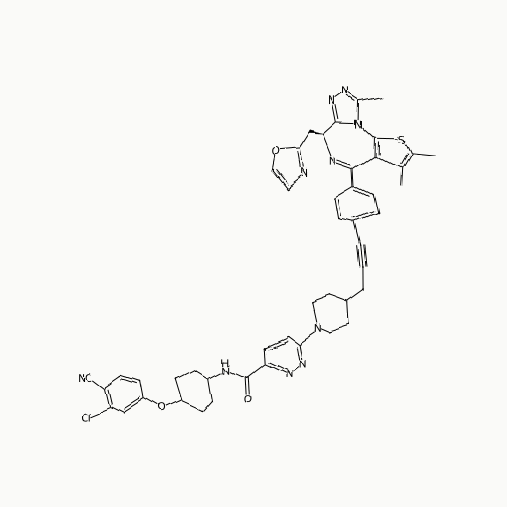 Cc1sc2c(c1C)C(c1ccc(C#CCC3CCN(c4ccc(C(=O)NC5CCC(Oc6ccc(C#N)c(Cl)c6)CC5)nn4)CC3)cc1)=N[C@@H](Cc1ncco1)c1nnc(C)n1-2